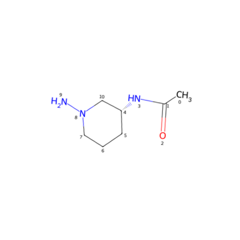 CC(=O)N[C@@H]1CCCN(N)C1